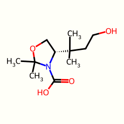 CC(C)(CCO)[C@H]1COC(C)(C)N1C(=O)O